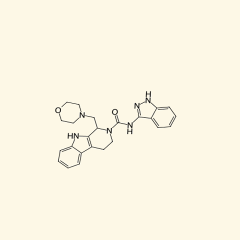 O=C(Nc1n[nH]c2ccccc12)N1CCc2c([nH]c3ccccc23)C1CN1CCOCC1